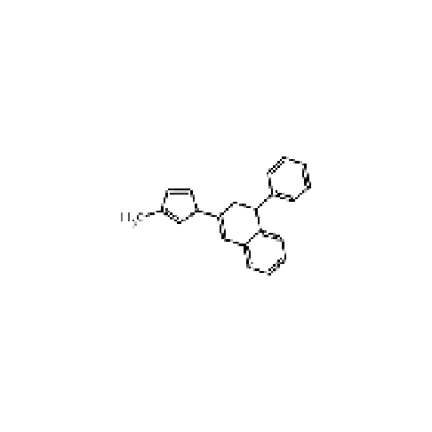 CC1=CC(C2=Cc3ccccc3C(c3ccccc3)C2)C=C1